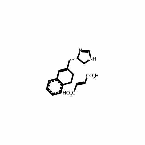 C1=N[C@@H](CC2=Cc3ccccc3CC2)CN1.O=C(O)/C=C/C(=O)O